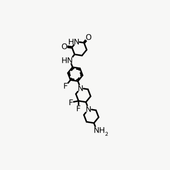 NC1CCN(C2CCN(c3ccc(NC4CCC(=O)NC4=O)cc3F)CC2(F)F)CC1